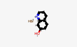 Br.Oc1ccc2cccnc2c1